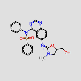 CN1CC(CO)O/C1=N\c1ccc2ncnc(N(c3ccccc3)S(=O)(=O)c3ccccc3)c2c1